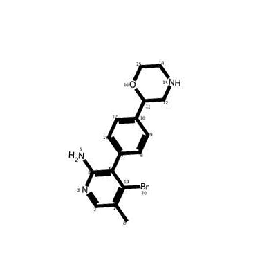 Cc1cnc(N)c(-c2ccc(C3CNCCO3)cc2)c1Br